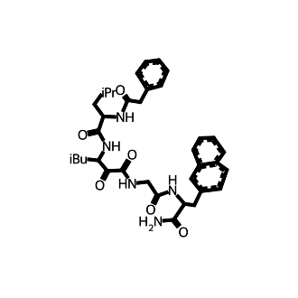 CCC(C)C(NC(=O)C(CC(C)C)NC(=O)Cc1ccccc1)C(=O)C(=O)NCC(=O)NC(Cc1ccc2ccccc2c1)C(N)=O